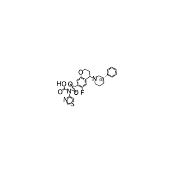 O=C(O)N(c1cscn1)S(=O)(=O)c1cc2c(cc1F)C(N1CCC[C@@H](c3ccccc3)C1)CCO2